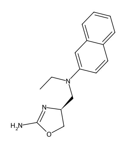 CCN(C[C@H]1COC(N)=N1)c1ccc2ccccc2c1